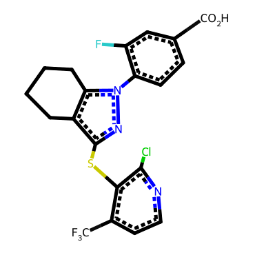 O=C(O)c1ccc(-n2nc(Sc3c(C(F)(F)F)ccnc3Cl)c3c2CCCC3)c(F)c1